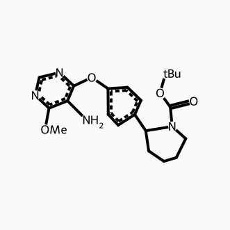 COc1ncnc(Oc2ccc(C3CCCCN3C(=O)OC(C)(C)C)cc2)c1N